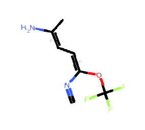 C=N/C(=C\C=C(/C)N)OC(F)(F)F